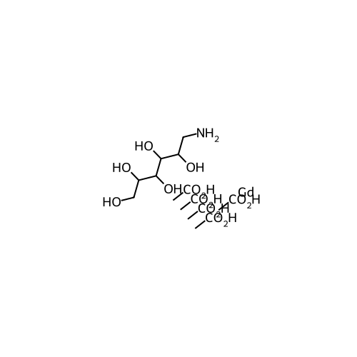 CC(=O)O.CC(=O)O.CC(=O)O.CC(=O)O.CC(=O)O.NCC(O)C(O)C(O)C(O)CO.[Gd]